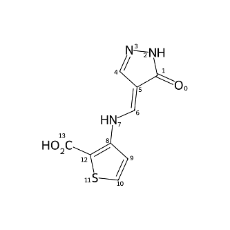 O=C1NN=CC1=CNc1ccsc1C(=O)O